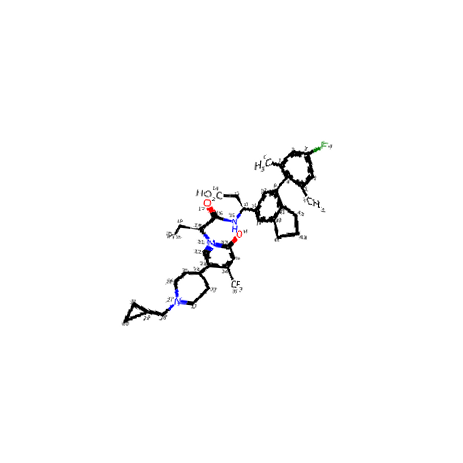 Cc1cc(F)cc(C)c1-c1cc([C@H](CC(=O)O)NC(=O)[C@H](CC(C)C)n2cc(C3CCN(CC4CC4)CC3)c(C(F)(F)F)cc2=O)cc2c1CCC2